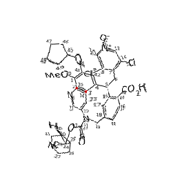 COc1ccc(C(Cc2c(Cl)c[n+]([O-])cc2Cl)c2cc(CN(C(=O)O[C@H]3CN4CCC3CC4)c3cccnc3)ccc2C(=O)O)cc1OC1CCCC1